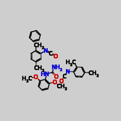 COc1cccc(OC)c1NC(N)=O.Cc1ccc(C)c(N=C=O)c1.Cc1ccc(N=C=O)c(C)c1.c1ccccc1